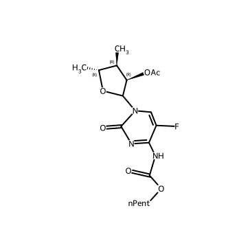 CCCCCOC(=O)Nc1nc(=O)n(C2O[C@H](C)[C@@H](C)[C@H]2OC(C)=O)cc1F